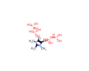 CCCC1=C(CC)N(C)C(C)N1C.OB(O)O.OB(O)O.OB(O)O.OB(O)O